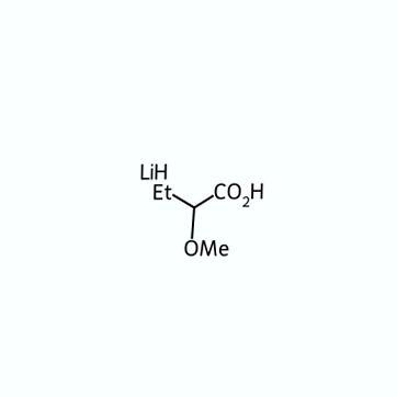 CCC(OC)C(=O)O.[LiH]